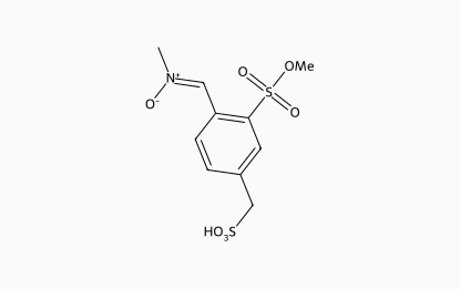 COS(=O)(=O)c1cc(CS(=O)(=O)O)ccc1C=[N+](C)[O-]